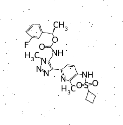 Cc1nc(-c2nnn(C)c2NC(=O)O[C@H](C)c2cccc(F)c2)ccc1NS(=O)(=O)C1CCC1